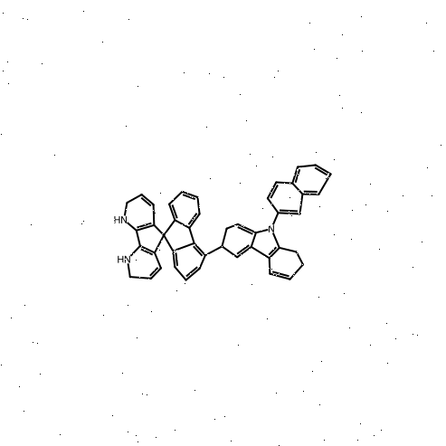 C1=Cc2c(n(-c3ccc4ccccc4c3)c3c2=CC(c2cccc4c2-c2ccccc2C42C4=C(NCC=C4)C4=C2C=CCN4)CC=3)CC1